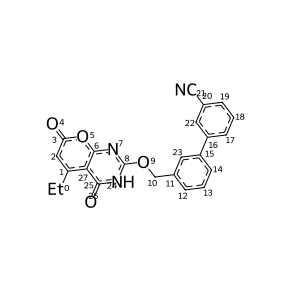 CCc1cc(=O)oc2nc(OCc3cccc(-c4cccc(C#N)c4)c3)[nH]c(=O)c12